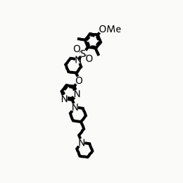 COc1cc(C)c(S(=O)(=O)N2CCCC(Oc3ccnc(N4CCC(CCN5CCCCC5)CC4)n3)C2)c(C)c1